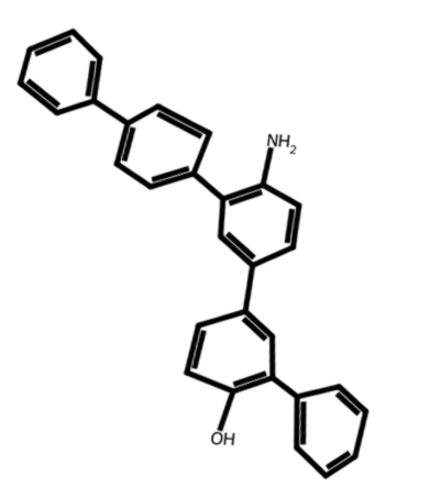 Nc1ccc(-c2ccc(O)c(-c3ccccc3)c2)cc1-c1ccc(-c2ccccc2)cc1